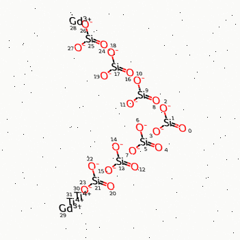 O=[Si]([O-])[O-].O=[Si]([O-])[O-].O=[Si]([O-])[O-].O=[Si]([O-])[O-].O=[Si]([O-])[O-].O=[Si]([O-])[O-].O=[Si]([O-])[O-].[Gd+3].[Gd+3].[Ti+4].[Ti+4]